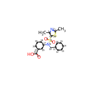 Cc1nc(C)c(S(=O)(=O)N(Cc2ccccc2)c2cccc(C(=O)O)c2)s1